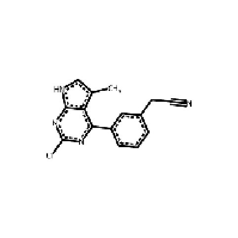 Cc1c[nH]c2nc(Cl)nc(-c3cccc(CC#N)c3)c12